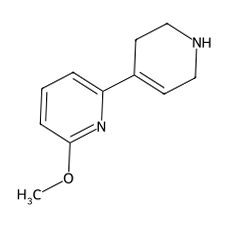 COc1cccc(C2=CCNCC2)n1